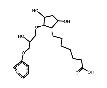 O=C(O)CCCCCC[C@H]1C(O)CC(O)[C@@H]1SCC(O)COc1ccccc1